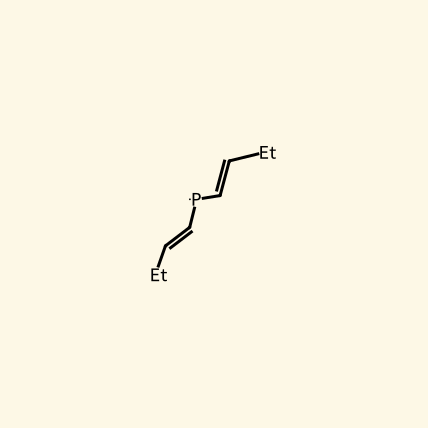 CCC=C[P]C=CCC